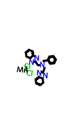 C1=CCC2=NC(CN(CC3=NC4=CC=CCC4=N3)Cc3ccccc3)=NC2=C1.[Cl][Mn][Cl]